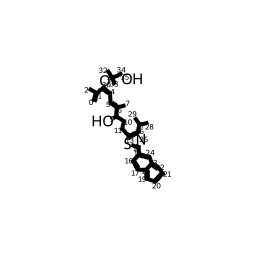 C=C(C)/C(=C\C=C(/C)C(O)CCc1sc(-c2ccc3ccccc3c2)nc1C(C)C)OC(C)(C)CO